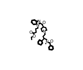 CCOC(=O)CCCn1c(C(=O)C2CCN(CCC(CN(C)C(=O)c3ccccc3)c3ccccc3)CC2)nc2ccccc21